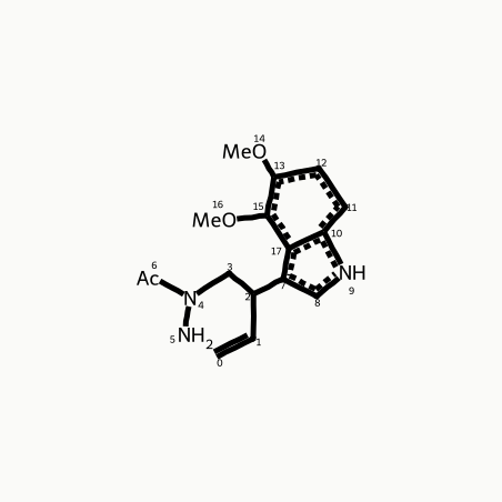 C=CC(CN(N)C(C)=O)c1c[nH]c2ccc(OC)c(OC)c12